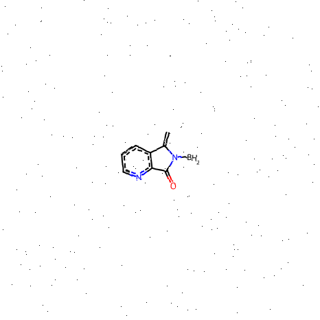 BN1C(=C)c2cccnc2C1=O